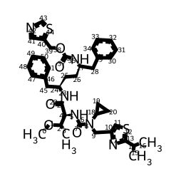 COC(C)[C@H](NC(=O)N(Cc1csc(C(C)C)n1)C1CC1)C(=O)N[C@H](CC[C@H](Cc1ccccc1)NC(=O)OCc1cncs1)Cc1ccccc1